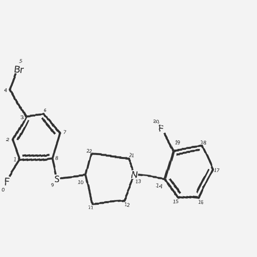 Fc1cc(CBr)ccc1SC1CCN(c2ccccc2F)CC1